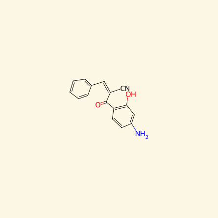 N#CC(=Cc1ccccc1)C(=O)c1ccc(N)cc1O